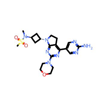 CN([C@H]1C[C@H](N2CCc3c(-c4cnc(N)nc4)nc(N4CCOCC4)nc32)C1)S(C)(=O)=O